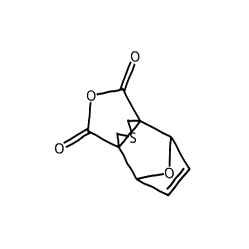 O=C1OC(=O)C23CSCC12C1C=CC3O1